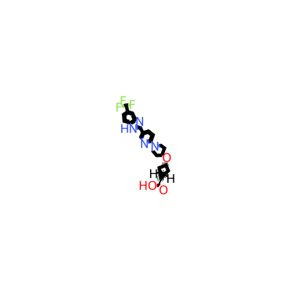 O=C(O)[C@H]1[C@@H]2C[C@H](OC3CCN(c4ccc(-c5nc6cc(C(F)(F)F)ccc6[nH]5)cn4)CC3)C[C@@H]21